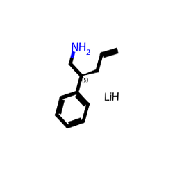 C=CC[C@H](CN)c1ccccc1.[LiH]